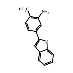 Nc1cc(-c2cc3ccccc3o2)ccc1C(=O)O